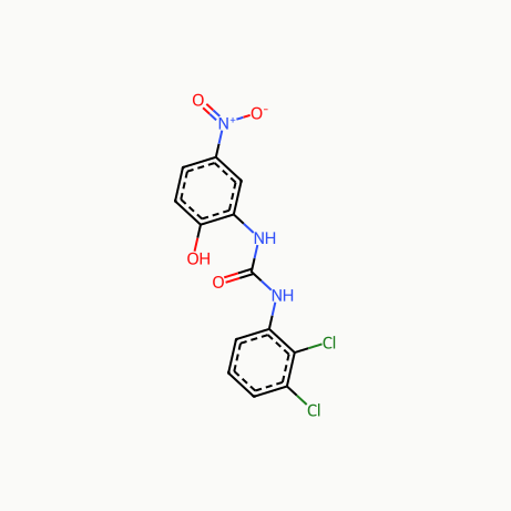 O=C(Nc1cc([N+](=O)[O-])ccc1O)Nc1cccc(Cl)c1Cl